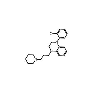 Clc1ccccc1N1CCN(CCCN2CCCCC2)c2ccccc21